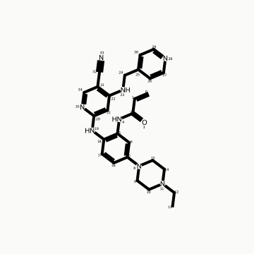 C=CC(=O)Nc1cc(N2CCN(CC)CC2)ccc1Nc1cc(NCc2ccncc2)c(C#N)cn1